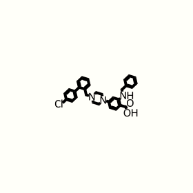 O=C(O)c1ccc(N2CCN(Cc3ccccc3-c3ccc(Cl)cc3)CC2)cc1NCc1ccccc1